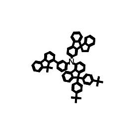 CC(C)(C)c1ccc(C2(c3ccc(C(C)(C)C)cc3)c3ccccc3-c3c(N(c4cccc(-c5cccc6c5C(C)(C)c5ccccc5-6)c4)c4ccc5c(c4)C4(CCc6ccccc64)c4ccccc4-5)cccc32)cc1